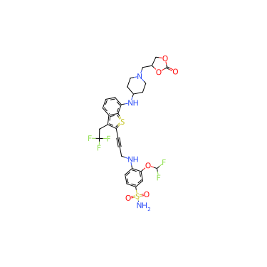 NS(=O)(=O)c1ccc(NCC#Cc2sc3c(NC4CCN(CC5COC(=O)O5)CC4)cccc3c2CC(F)(F)F)c(OC(F)F)c1